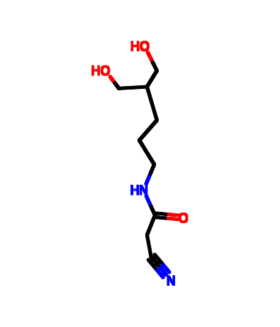 N#CCC(=O)NCCCC(CO)CO